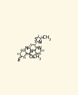 Cc1csc(C=Cc2nc3ccc(F)cc3c(=O)n2-c2cnccc2C)n1